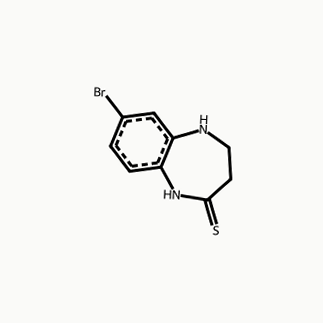 S=C1CCNc2cc(Br)ccc2N1